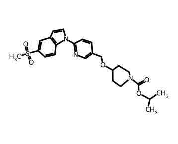 CC(C)OC(=O)N1CCC(OCc2ccc(-n3ccc4cc(S(C)(=O)=O)ccc43)nc2)CC1